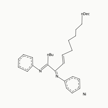 CCCCCCCCCCCCCCC/C=C/C(=N\c1ccccc1)C(/CCCC)=N/c1ccccc1.[Ni]